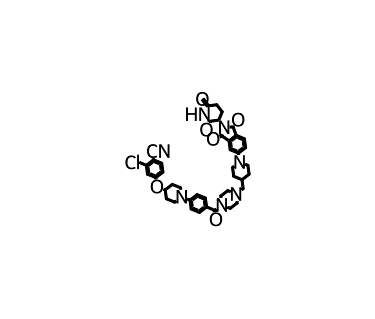 N#Cc1ccc(OC2CCN(c3ccc(C(=O)N4CCN(CC5CCN(c6ccc7c(c6)C(=O)N(C6CCC(=O)NC6=O)C7=O)CC5)CC4)cc3)CC2)cc1Cl